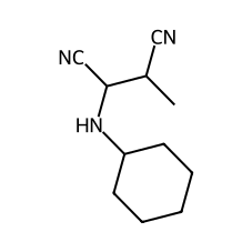 CC(C#N)C(C#N)NC1CCCCC1